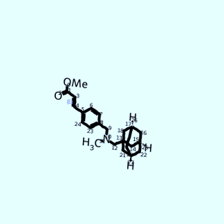 COC(=O)/C=C/c1ccc(CN(C)CC23C[C@H]4C[C@H](C2)C[C@@H](C3)C4)cc1